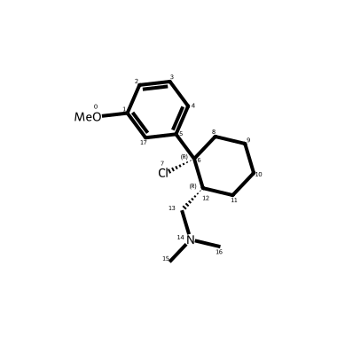 COc1cccc([C@@]2(Cl)CCCC[C@@H]2CN(C)C)c1